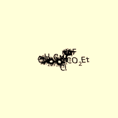 CCOC(=O)C(c1ncn2c1CC(F)C2)n1cc2c(Cl)cc(-c3ccc(N4CCOCC4)cc3)c(C)c2n1